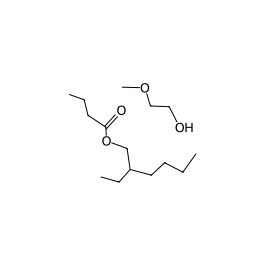 CCCCC(CC)COC(=O)CCC.COCCO